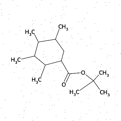 CC1CC(C(=O)OC(C)(C)C)C(C)C(C)C1C